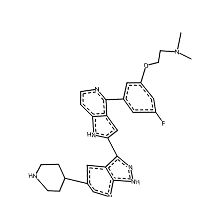 CN(C)CCOc1cc(F)cc(-c2nccc3[nH]c(-c4n[nH]c5ncc(C6CCNCC6)cc45)cc23)c1